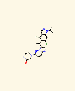 CC(c1c(F)cc2c(cnn2C(C)C)c1F)c1cnc2ccc(N3CCNC(=O)C3)nn12